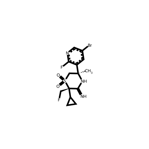 C[C@@]1(c2cc(Br)cnc2F)CS(=O)(=O)[C@@](CF)(C2CC2)C(=N)N1